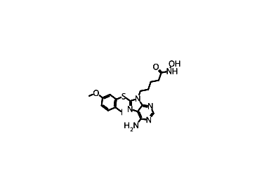 COc1ccc(I)c(Sc2nc3c(N)ncnc3n2CCCCC(=O)NO)c1